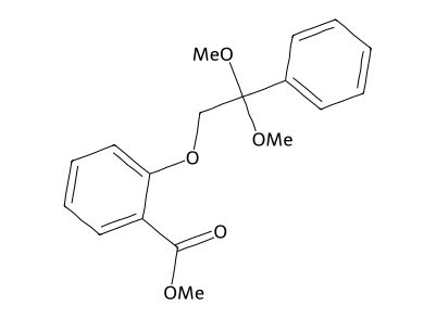 COC(=O)c1ccccc1OCC(OC)(OC)c1ccccc1